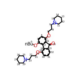 CCCCOc1ccc(OCCCN2CCCCC2)c2c1-c1c(OCCCN3CCCCC3)cccc1C2=O